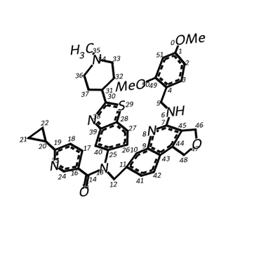 COc1ccc(CNc2nc3cc(CN(C(=O)c4ccc(C5CC5)nc4)c4ccc5sc(C6CCN(C)CC6)nc5c4)ccc3c3c2COC3)c(OC)c1